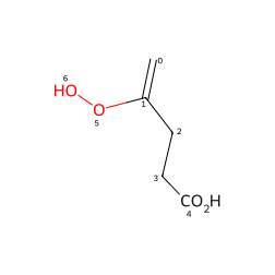 C=C(CCC(=O)O)OO